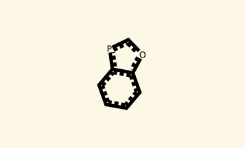 c1ccc2pcoc2c1